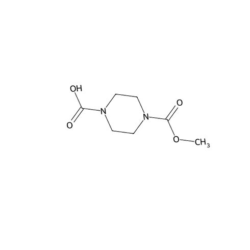 COC(=O)N1CCN(C(=O)O)CC1